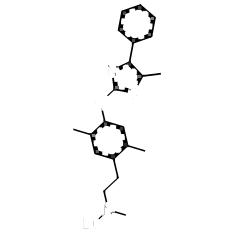 CCN(C)CCc1cc(C)c(Oc2nc(-c3ccccc3)c(C)s2)cc1C